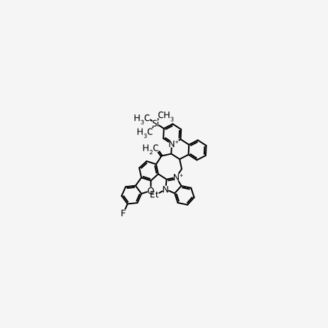 C=C1c2ccc3c(oc4cc(F)ccc43)c2-c2n(CC)c3ccccc3[n+]2CC2c3ccccc3-c3ccc([Si](C)(C)C)c[n+]3C12